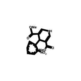 COC(=O)C1=CNC=C(C(=O)OC)C1c1ccccc1[N+](=O)[O-]